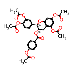 CC(=O)Oc1ccc(C(=O)O[C@H]2Cc3c(OC(C)=O)cc(OC(C)=O)cc3O[C@@H]2c2ccc(OC(C)=O)c(OC(C)=O)c2)cc1